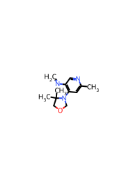 C=Nc1cnc(C)cc1N1COCC1(C)C